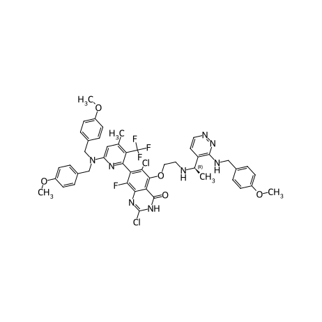 COc1ccc(CNc2nnccc2[C@@H](C)NCCOc2c(Cl)c(-c3nc(N(Cc4ccc(OC)cc4)Cc4ccc(OC)cc4)cc(C)c3C(F)(F)F)c(F)c3nc(Cl)[nH]c(=O)c23)cc1